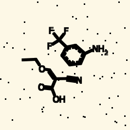 CCOC=C(C#N)C(=O)O.Nc1cccc(C(F)(F)F)c1